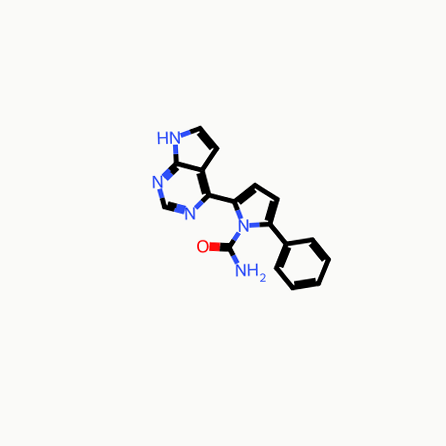 NC(=O)n1c(-c2ccccc2)ccc1-c1ncnc2[nH]ccc12